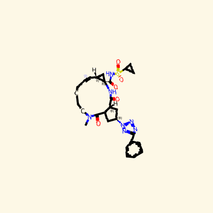 CN1CCCC/C=C\[C@@H]2C[C@@]2(C(=O)NS(=O)(=O)C2CC2)NC(=O)[C@@H]2C[C@@H](n3nnc(-c4ccccc4)n3)CC2C1=O